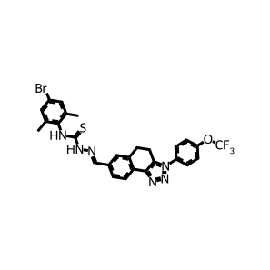 Cc1cc(Br)cc(C)c1NC(=S)NN=Cc1ccc2c(c1)CCc1c-2nnn1-c1ccc(OC(F)(F)F)cc1